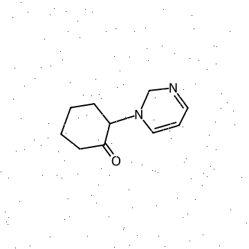 O=C1CCCCC1N1C=CC=NC1